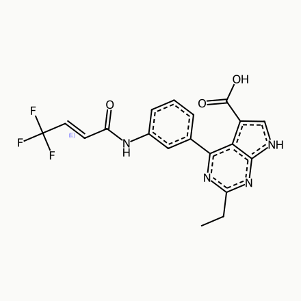 CCc1nc(-c2cccc(NC(=O)/C=C/C(F)(F)F)c2)c2c(C(=O)O)c[nH]c2n1